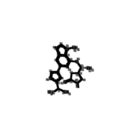 CC(C)n1cc(-c2cc3ncn(C)c3c(O[C@H](C)[C@H]3CNC(=O)C3)n2)cn1